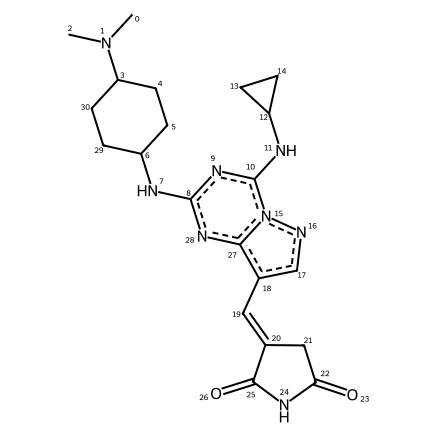 CN(C)C1CCC(Nc2nc(NC3CC3)n3ncc(/C=C4\CC(=O)NC4=O)c3n2)CC1